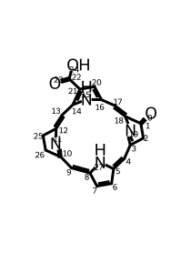 O=C1Cc2cc3ccc(cc4nc(cc5[nH]c(cc1n2)cc5C(=O)O)CC4)[nH]3